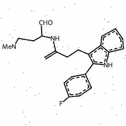 C=C(CCc1c(-c2ccc(F)cc2)[nH]c2ccccc12)NC(C=O)CCNC